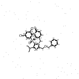 CC(C)c1nc(COCc2ccccc2)n(Cc2ccc(=O)[nH]c2)c1S(=O)(=O)c1cc(Cl)cc(Cl)c1